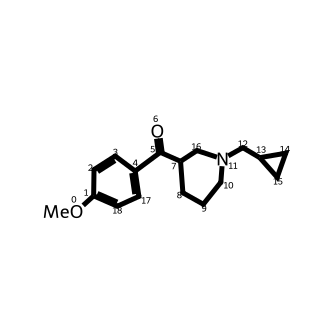 COc1ccc(C(=O)C2CCCN(CC3CC3)C2)cc1